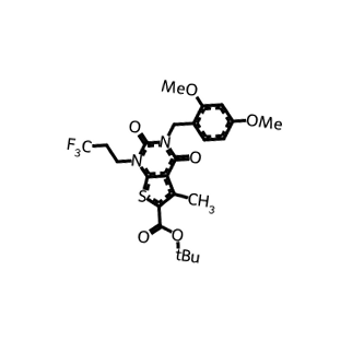 COc1ccc(Cn2c(=O)c3c(C)c(C(=O)OC(C)(C)C)sc3n(CCC(F)(F)F)c2=O)c(OC)c1